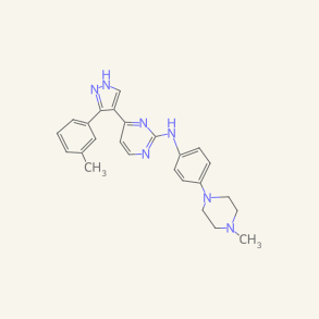 Cc1cccc(-c2n[nH]cc2-c2ccnc(Nc3ccc(N4CCN(C)CC4)cc3)n2)c1